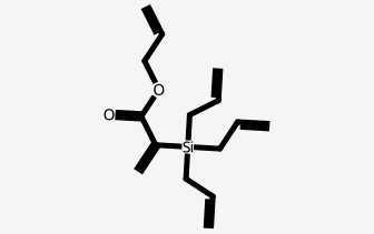 C=CCOC(=O)C(=C)[Si](CC=C)(CC=C)CC=C